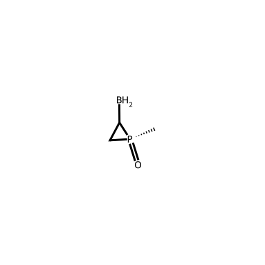 BC1C[P@]1(C)=O